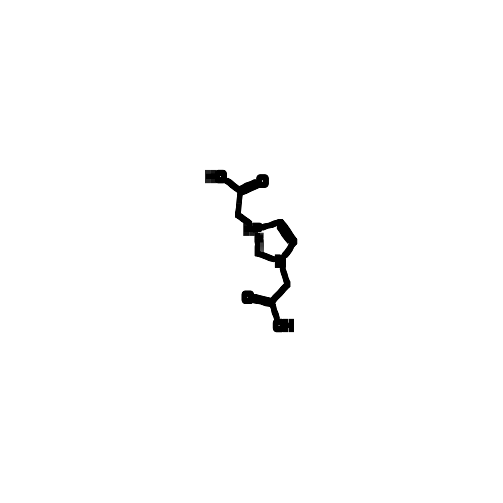 O=C(O)CN1C=C[PH](CC(=O)O)=C1